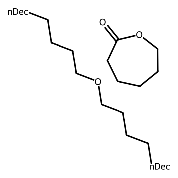 CCCCCCCCCCCCCCOCCCCCCCCCCCCCC.O=C1CCCCCO1